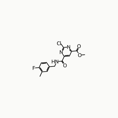 COC(=O)c1cc(C(=O)NCc2ccc(F)c(C)c2)nc(Cl)n1